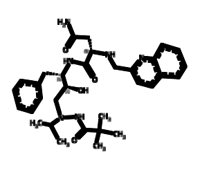 CC(C)N(C[C@H](O)[C@H](Cc1ccccc1)NC(=O)[C@H](CC(N)=O)NCc1ccc2ccccc2n1)NC(=O)C(C)(C)C